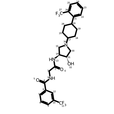 O=C(CNC(=O)c1cccc(C(F)(F)F)c1)N[C@H]1CN(C2CCC(c3ccccc3C(F)(F)F)CC2)C[C@@H]1O